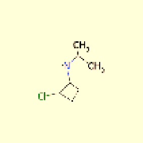 CC(C)[N]C1CCC1Cl